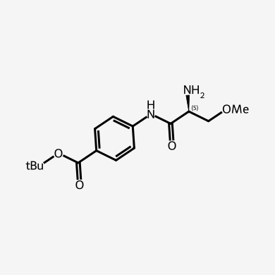 COC[C@H](N)C(=O)Nc1ccc(C(=O)OC(C)(C)C)cc1